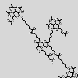 CCC(OC(=O)CCC(=O)CS(#P)=S)C(=O)N(CCCNC(=O)CCCCCO[C@@H]1OC(COC(C)=O)[C@H](OC(C)=O)[C@H](OC(C)=O)C1NC(C)=O)CCCN(CCCNC(=O)CCCCCO[C@@H]1OC(COC(C)=O)[C@H](OC(C)=O)[C@H](OC(C)=O)C1NC(C)=O)C(=O)CCCCCO[C@@H]1OC(COC(C)=O)[C@H](OC(C)=O)[C@H](OC(C)=O)C1NC(C)=O